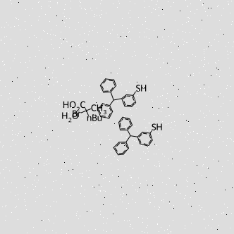 CCCCC(C)(Br)C(=O)O.O.Sc1cccc(C(c2ccccc2)c2ccccc2)c1.Sc1cccc(C(c2ccccc2)c2ccccc2)c1